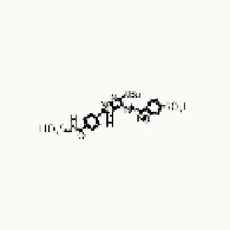 CC(C)(C)c1nn2nc(-c3ccc(C(=O)NCS(=O)(=O)O)cc3)[nH]c2c1N=Nc1noc2cc(S(=O)(=O)O)ccc12